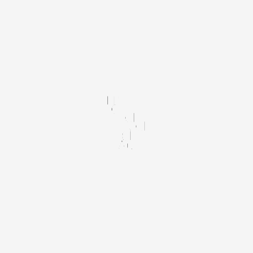 [Au].[Cl-].[Cl-].[Cl-].[Cl-].[H+]